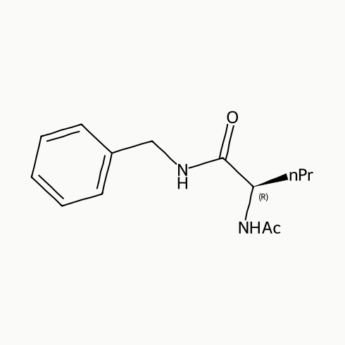 CCC[C@@H](NC(C)=O)C(=O)NCc1ccccc1